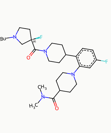 CN(C)C(=O)C1CCN(c2cc(F)ccc2C2CCN(C(=O)[C@@]3(F)CCN(C(C)(C)C)C3)CC2)CC1